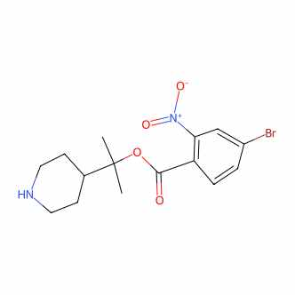 CC(C)(OC(=O)c1ccc(Br)cc1[N+](=O)[O-])C1CCNCC1